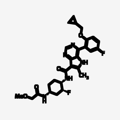 COCC(=O)N[C@@H]1CC[C@H](NC(=O)c2c(C)[nH]c3c(-c4cc(F)ccc4OCC4CC4)ncnc23)[C@H](F)C1